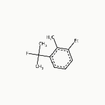 CCc1cccc(C(C)(C)F)c1C